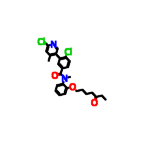 CCC(=O)CCCCOc1ccccc1N(C)C(=O)c1ccc(Cl)c(-c2cnc(Cl)cc2C)c1